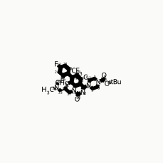 C[C@H]1CN(C(=O)OC(C)(C)C)CCN1c1nc(=O)n2c3c(c(-c4ccc(F)cc4F)c(C(F)(F)F)cc13)S[C@H](CN(C)C)C2